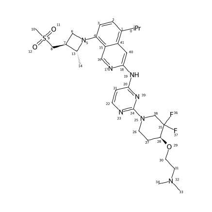 CC(C)c1ccc(N2C[C@H](CS(C)(=O)=O)[C@H]2C)c2cnc(Nc3ccnc(N4CC[C@H](OCCN(C)C)C(F)(F)C4)n3)cc12